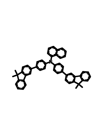 CC1(C)c2ccccc2-c2cc(-c3ccc(N(c4ccc(-c5ccc6c(c5)-c5ccccc5C6(C)C)cc4)c4cccc5ccccc45)cc3)ccc21